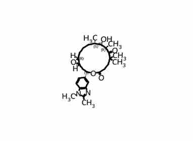 Cc1nc2cc([C@@H]3C[C@@H]4O[C@@H]4CCC[C@H](C)[C@H](O)[C@@H](C)C(=O)C(C)(C)CCC(=O)O3)ccc2n1C